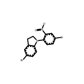 O=[N+]([O-])c1cc(Br)ccc1N1CCc2cc(Br)ccc21